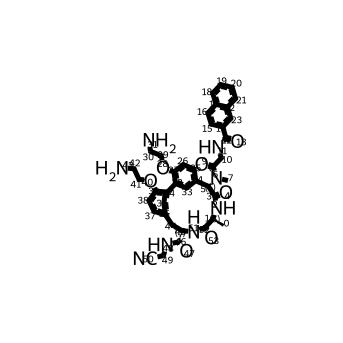 C[C@@H]1NC(=O)[C@@H](N(C)C(=O)CNC(=O)c2ccc3ccccc3c2)c2ccc(OCCN)c(c2)-c2cc(ccc2OCCN)C[C@@H](C(=O)NCC#N)NC1=O